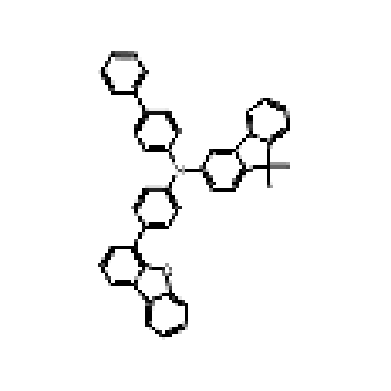 CC1(C)c2ccccc2-c2cc(N(c3ccc(-c4ccccc4)cc3)c3ccc(-c4cccc5c4oc4ccccc45)cc3)ccc21